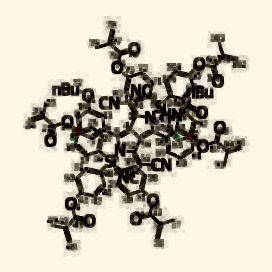 [C-]#[N+]C([N+]#[C-])=c1c2c(-c3cccc(OCCCC)c3)n([Si](c3ccc(OC(=O)C(=C)C)cc3)(c3ccc(OC(=O)C(=C)C)cc3)c3ccc(OC(=O)C(=C)C)cc3)c(=C(C#N)C#N)c2c(-c2ccccc2NC(=O)CCCC)n1[Si](c1ccc(OC(=O)C(=C)C)cc1)(c1ccc(OC(=O)C(=C)C)cc1)c1ccc(OC(=O)C(=C)C)cc1